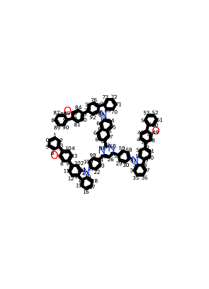 c1ccc2c(c1)oc1cc(-c3ccc4c5ccccc5n(-c5ccc(-c6cc(-c7ccc(-n8c9ccccc9c9ccc(-c%10ccc%11c(c%10)oc%10ccccc%10%11)cc98)cc7)nc(-c7ccc8cc(-n9c%10ccccc%10c%10ccc(-c%11ccc%12c(c%11)oc%11ccccc%11%12)cc%109)ccc8c7)n6)cc5)c4c3)ccc12